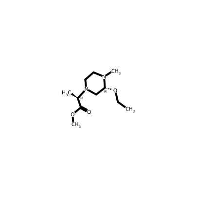 CCO[C@@H]1CN([C@H](C)C(=O)OC)CCN1C